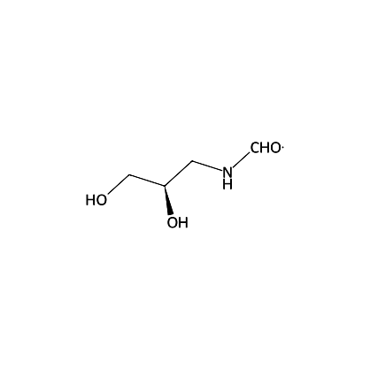 O=[C]NC[C@@H](O)CO